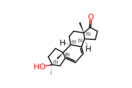 C[C@]1(O)CC[C@@]2(C)C(=CC=C3[C@@H]2CC[C@]2(C)C(=O)CC[C@@H]32)C1